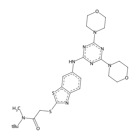 CN(C(=O)CSc1nc2ccc(Nc3nc(N4CCOCC4)nc(N4CCOCC4)n3)cc2s1)C(C)(C)C